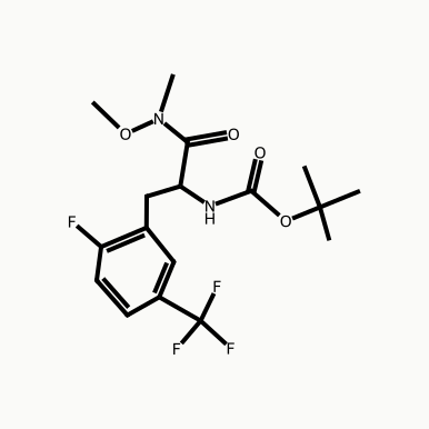 CON(C)C(=O)C(Cc1cc(C(F)(F)F)ccc1F)NC(=O)OC(C)(C)C